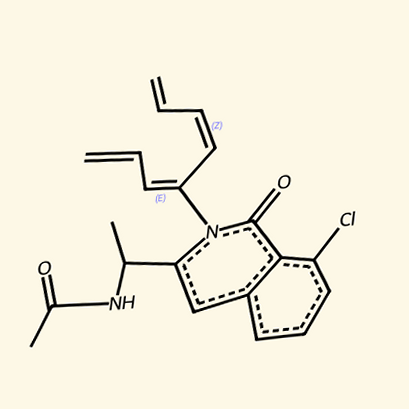 C=C/C=C\C(=C/C=C)n1c(C(C)NC(C)=O)cc2cccc(Cl)c2c1=O